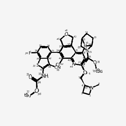 CN1CC[C@H]1COc1cc(N2C3CCC2N(C(=O)OC(C)(C)C)C3)c2c3c(c(-c4ccc(F)c5sc(NC(=O)OC(C)(C)C)c(C#N)c45)c(Cl)c2n1)COC3